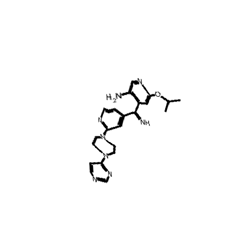 CC(C)Oc1cc(C(=N)c2ccnc(N3CCN(c4ccncn4)CC3)c2)c(N)cn1